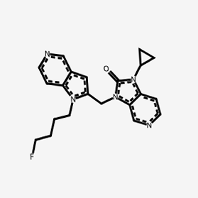 O=c1n(Cc2cc3cnccc3n2CCCCF)c2cnccc2n1C1CC1